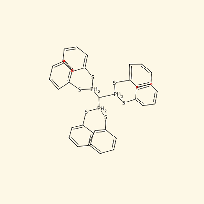 c1ccc(S[PH2](Sc2ccccc2)C([PH2](Sc2ccccc2)Sc2ccccc2)[PH2](Sc2ccccc2)Sc2ccccc2)cc1